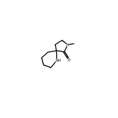 CN1CCC2(CCCCN2)C1=O